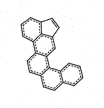 C1=Cc2cc3c(ccc4ccc5ccccc5c43)c3cccc1c23